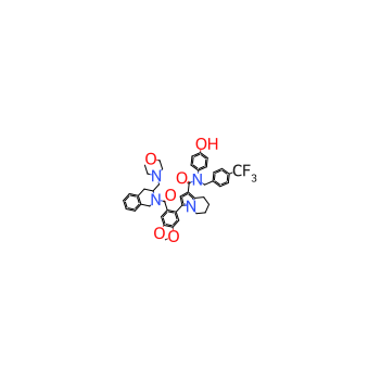 O=C(c1cc(-c2cc3c(cc2C(=O)N2Cc4ccccc4CC2CN2CCOCC2)OCO3)n2c1CCCC2)N(Cc1ccc(C(F)(F)F)cc1)c1ccc(O)cc1